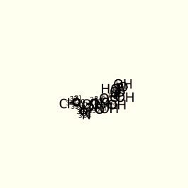 O=c1ccn([C@@H]2O[C@H](COP(=O)(O)OP(=O)(O)O)C(O)C2O)c(=O)n1Cc1cc(-c2cccc(Cl)c2)ccn1